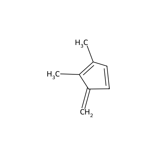 C=C1C=CC(C)=C1C